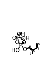 C=CC(C)=COP(=O)(O)OP(=O)(O)O